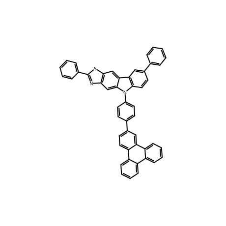 c1ccc(-c2ccc3c(c2)c2cc4sc(-c5ccccc5)nc4cc2n3-c2ccc(-c3ccc4c5ccccc5c5ccccc5c4c3)cc2)cc1